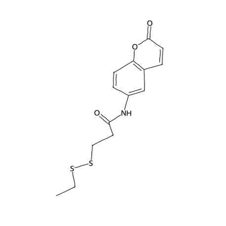 CCSSCCC(=O)Nc1ccc2oc(=O)ccc2c1